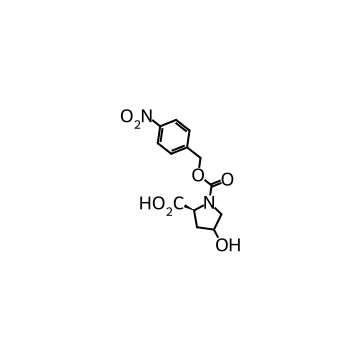 O=C(O)[C@@H]1CC(O)CN1C(=O)OCc1ccc([N+](=O)[O-])cc1